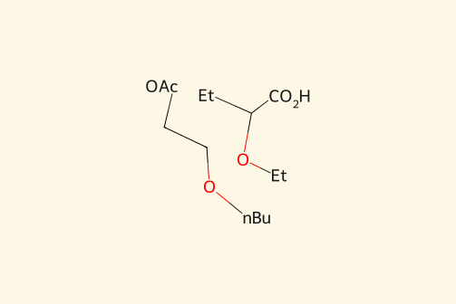 CCCCOCCOC(C)=O.CCOC(CC)C(=O)O